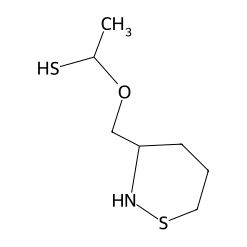 CC(S)OCC1CCCSN1